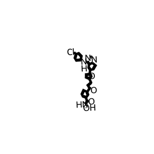 O=C(C=Cc1ccc(-c2ccc3ncnc(Nc4ccc(Cl)cc4)c3c2)o1)c1cccc(C(=O)NO)c1